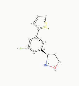 Fc1cc(-c2cccs2)cc([C@H]2CCON2)c1